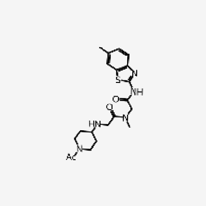 CC(=O)N1CCC(NCC(=O)N(C)CC(=O)Nc2nc3ccc(C)cc3s2)CC1